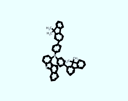 CC1(C)c2ccccc2-c2ccc(-c3ccc(N(c4ccc(-c5cccc6c5C(C)(C)c5ccccc5-6)cc4)c4cccc5sc6c7ccccc7ccc6c45)cc3)cc21